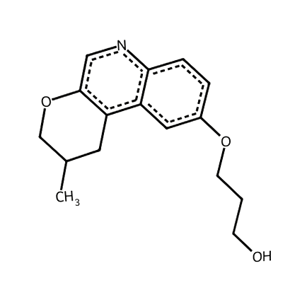 CC1COc2cnc3ccc(OCCCO)cc3c2C1